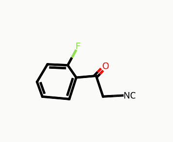 [C-]#[N+]CC(=O)c1ccccc1F